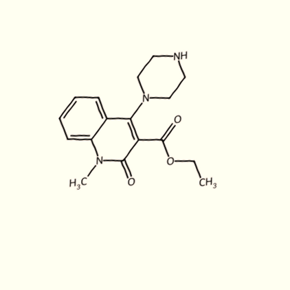 CCOC(=O)c1c(N2CCNCC2)c2ccccc2n(C)c1=O